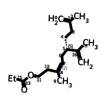 C=C(C)CC[C@@H](C/C=C(/C)CCOC(=O)CC)C(=C)C